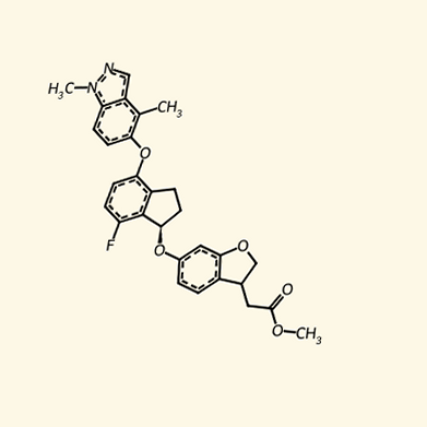 COC(=O)CC1COc2cc(O[C@@H]3CCc4c(Oc5ccc6c(cnn6C)c5C)ccc(F)c43)ccc21